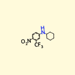 O=[N+]([O-])c1ccc(NC2CCCCC2)cc1C(F)(F)F